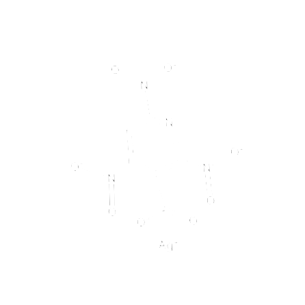 O=C([O-])c1c([N+](=O)[O-])cc([N+](=O)[O-])nc1[N+](=O)[O-].[Ag+]